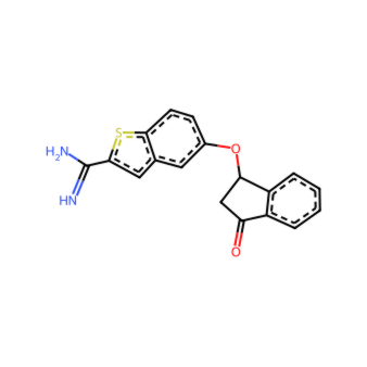 N=C(N)c1cc2cc(OC3CC(=O)c4ccccc43)ccc2s1